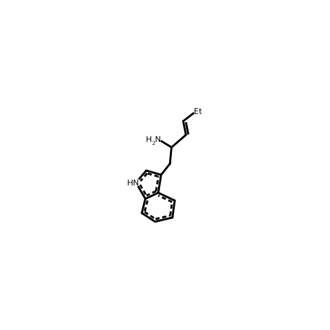 CC/C=C/C(N)Cc1c[nH]c2ccccc12